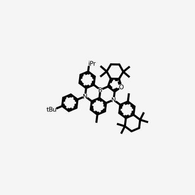 Cc1cc2c3c(c1)N(c1cc4c(cc1C)C(C)(C)CCC4(C)C)c1oc4c(c1B3c1cc(C(C)C)ccc1N2c1ccc(C(C)(C)C)cc1)C(C)(C)CCC4(C)C